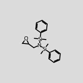 C[Si](C)(c1ccccc1)N(CC1CO1)[Si](C)(C)c1ccccc1